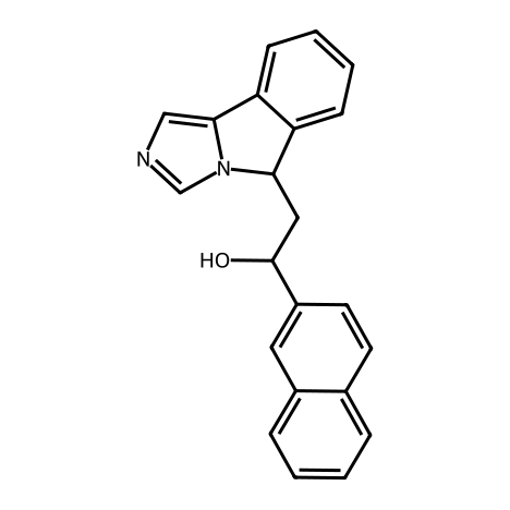 OC(CC1c2ccccc2-c2cncn21)c1ccc2ccccc2c1